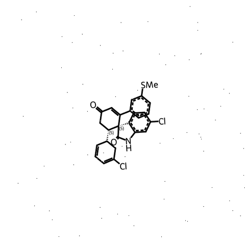 CSc1cccc(C2=CC(=O)C[C@@H](C3C=CC=C(Cl)C3)[C@]23C(=O)Nc2cc(Cl)ccc23)c1